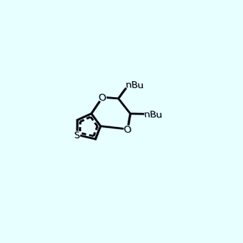 CCCCC1Oc2cscc2OC1CCCC